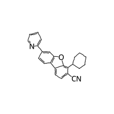 N#Cc1ccc2c(oc3cc(-c4ccccn4)ccc32)c1C1CCCCC1